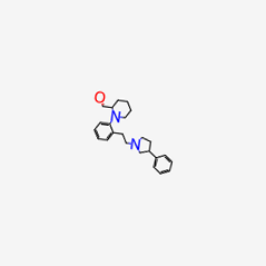 O=CC1CCCCN1c1ccccc1CCN1CCC(c2ccccc2)C1